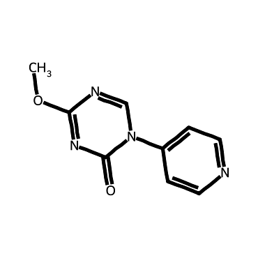 COc1ncn(-c2ccncc2)c(=O)n1